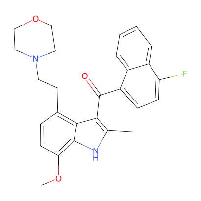 COc1ccc(CCN2CCOCC2)c2c(C(=O)c3ccc(F)c4ccccc34)c(C)[nH]c12